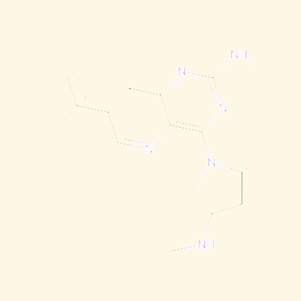 CNC1CCN(c2nc(N)nc3cc(C(C)C)cnc23)C1